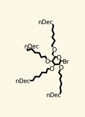 CCCCCCCCCCCCCCCCOC[C@H]1O[C@@H](Br)[C@H](OCCCCCCCCCCCCCCCC)[C@@H](OCCCCCCCCCCCCCCCC)[C@H]1OCCCCCCCCCCCCCCCC